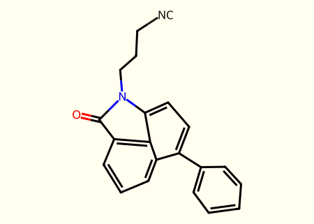 [C-]#[N+]CCCN1C(=O)c2cccc3c(-c4ccccc4)ccc1c23